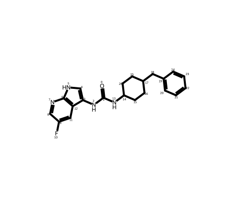 O=C(Nc1c[nH]c2ncc(F)cc12)NC1CCC(Cc2ccccc2)CC1